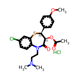 COc1ccc([C@@H]2Sc3cc(Cl)ccc3N(CCN(C)C)C(=O)[C@@H]2OC(C)=O)cc1.Cl